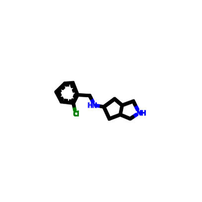 Clc1ccccc1CNC1CC2CNCC2C1